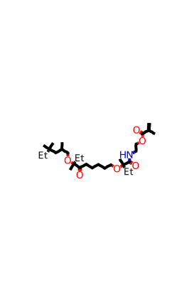 C=C(C)C(=O)OCCNC(=O)C(C)(CC)OCCCCCC(=O)C(C)(CC)OCC(C)CC(C)(C)CC